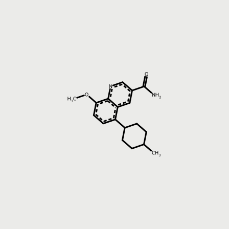 COc1ccc(C2CCC(C)CC2)c2cc(C(N)=O)cnc12